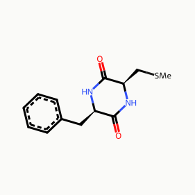 CSC[C@H]1NC(=O)[C@@H](Cc2ccccc2)NC1=O